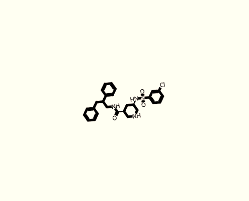 O=C(NCC(Cc1ccccc1)c1ccccc1)[C@@H]1CNC[C@H](NS(=O)(=O)c2cccc(Cl)c2)C1